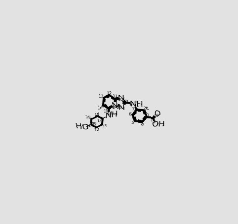 O=C(O)c1cccc(Nc2nc3cccc(N[C@H]4CC[C@@H](O)CC4)n3n2)c1